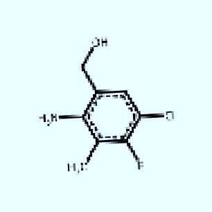 Cc1c(N)c(CO)cc(Cl)c1F